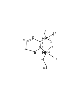 C[PH](C)(I)C1=C([PH](C)(I)CI)CCC=C1